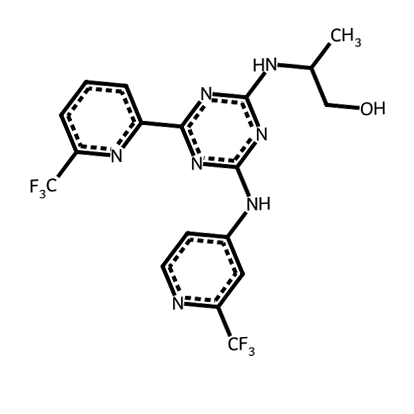 CC(CO)Nc1nc(Nc2ccnc(C(F)(F)F)c2)nc(-c2cccc(C(F)(F)F)n2)n1